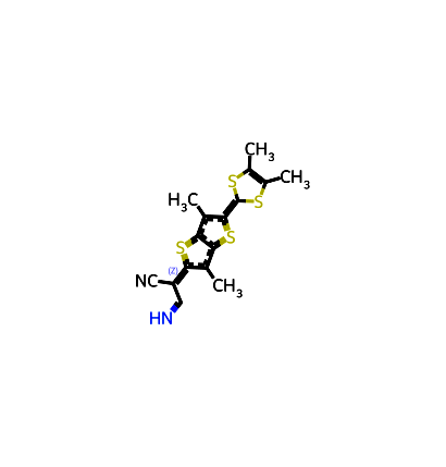 CC1=C(C)SC(=c2sc3c(C)/c(=C(/C#N)C=N)sc3c2C)S1